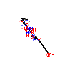 CN[C@@H](CCCCNC(=O)CC[C@H](NC(=O)CC[C@H](NC(=O)CC[C@H](NC(=O)[C@H]1CC[C@H](CNC(=O)CCCCCCCCCCCCCCCCCCC(=O)O)CC1)C(=O)O)C(=O)O)C(=O)O)C(C)=O